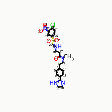 CN(CCc1ccc(C2=NCCN2)cc1)C(=O)CCNCS(=O)(=O)c1ccc(Cl)c([N+](=O)[O-])c1